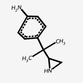 CC(C)(c1ccc(N)cc1)C1CN1